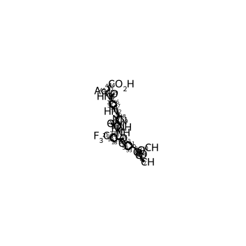 C#COP(=O)(OC#C)OCc1ccc(OC(=O)c2ccc(C(F)(F)F)cc2Nc2nc(=O)c3nc(CNc4ccc(C(=O)N[C@@H](CCC(=O)O)C(C)=O)cc4)cnc3[nH]2)cc1